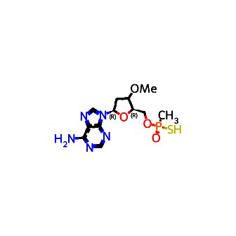 COC1C[C@H](n2cnc3c(N)ncnc32)O[C@@H]1COP(C)(=O)S